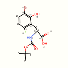 CC(C)(C)OC(=O)N[C@@H](Cc1c(F)ccc(Br)c1O)C(=O)O